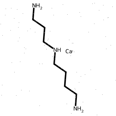 NCCCCNCCCN.[Ca]